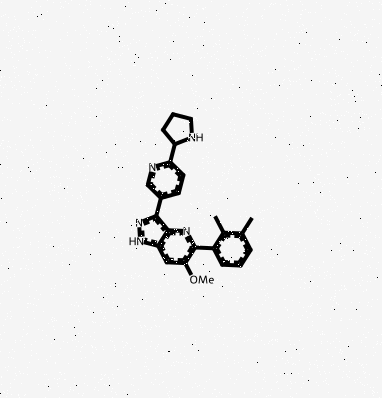 COc1cc2[nH]nc(-c3ccc(C4CCCN4)nc3)c2nc1-c1cccc(C)c1C